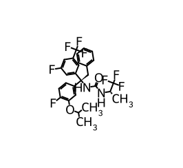 CC(C)Oc1cc([C@@](Cc2ccccc2)(NC(=O)N[C@H](C)C(F)(F)F)c2cc(F)cc(C(F)(F)F)c2)ccc1F